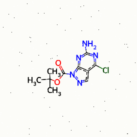 CC(C)(C)OC(=O)n1ncc2c(Cl)nc(N)nc21